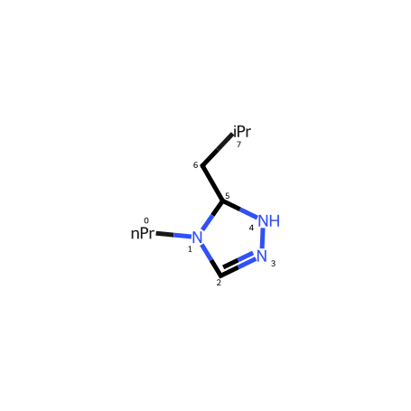 CCCN1C=NNC1CC(C)C